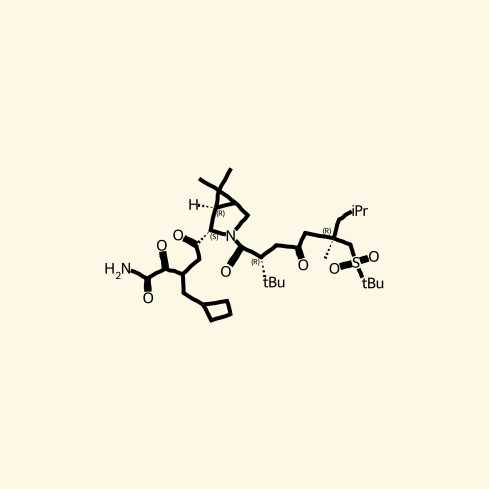 CC(C)C[C@](C)(CC(=O)C[C@@H](C(=O)N1CC2[C@@H]([C@H]1C(=O)CC(CC1CCC1)C(=O)C(N)=O)C2(C)C)C(C)(C)C)CS(=O)(=O)C(C)(C)C